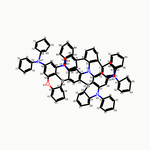 c1ccc(-c2cccc(-c3ccccc3)c2N2c3cc4c(cc3B3c5ccccc5N(c5ccccc5)c5cc(N(c6ccccc6)c6ccccc6)cc2c53)B2c3ccccc3Oc3cc(N(c5ccccc5)c5ccccc5)cc(c32)N4c2ccccc2)cc1